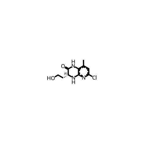 Cc1cc(Cl)nc2c1NC(=O)[C@@H](CCO)N2